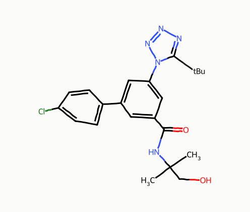 CC(C)(CO)NC(=O)c1cc(-c2ccc(Cl)cc2)cc(-n2nnnc2C(C)(C)C)c1